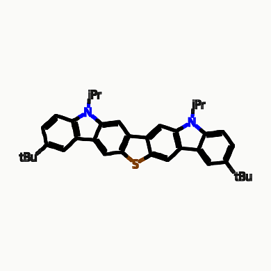 CC(C)n1c2ccc(C(C)(C)C)cc2c2cc3sc4cc5c6cc(C(C)(C)C)ccc6n(C(C)C)c5cc4c3cc21